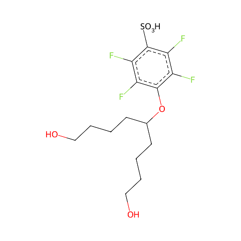 O=S(=O)(O)c1c(F)c(F)c(OC(CCCCO)CCCCO)c(F)c1F